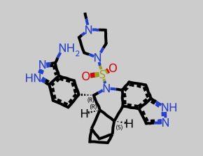 CN1CCN(S(=O)(=O)N2c3ccc4[nH]ncc4c3[C@H]3C4CCC(C4)[C@H]3[C@@H]2c2ccc3[nH]nc(N)c3c2)CC1